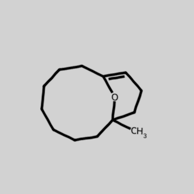 CC12CCC=C(CCCCCCC1)O2